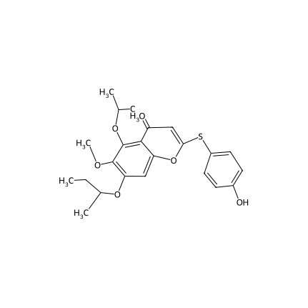 CCC(C)Oc1cc2oc(Sc3ccc(O)cc3)cc(=O)c2c(OC(C)C)c1OC